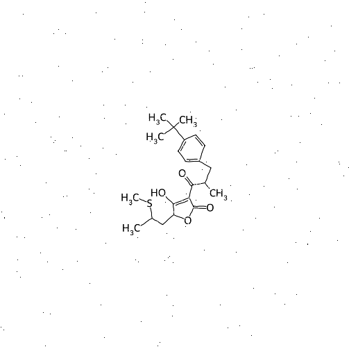 CSC(C)CC1OC(=O)C(C(=O)C(C)Cc2ccc(C(C)(C)C)cc2)=C1O